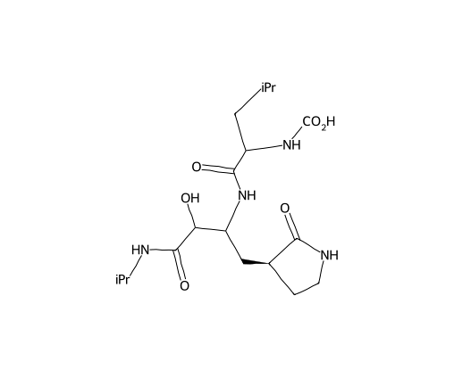 CC(C)CC(NC(=O)O)C(=O)NC(C[C@@H]1CCNC1=O)C(O)C(=O)NC(C)C